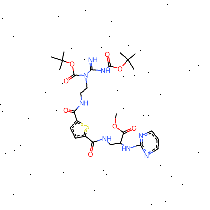 COC(=O)C(CNC(=O)c1ccc(C(=O)NCCN(C(=N)NC(=O)OC(C)(C)C)C(=O)OC(C)(C)C)s1)Nc1ncccn1